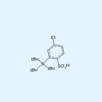 CCc1ccc(S(=O)(=O)O)c([Si](C(C)(C)C)(C(C)(C)C)C(C)(C)C)c1